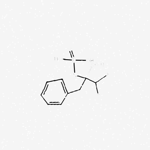 O=C(O)[C@](Cc1ccccc1)(NP(=O)(O)O)C(F)F